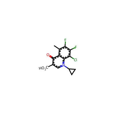 Cc1c(F)c(F)c(Cl)c2c1c(=O)c(C(=O)O)cn2C1CC1